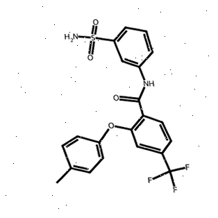 Cc1ccc(Oc2cc(C(F)(F)F)ccc2C(=O)Nc2cccc(S(N)(=O)=O)c2)cc1